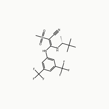 C[C@@H](N/C(Nc1cc(C(F)(F)F)cc(C(F)(F)F)c1)=C(\C#N)S(C)(=O)=O)C(C)(C)C